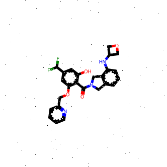 O=C(c1c(O)cc(C(F)F)cc1OCc1ccccn1)N1Cc2cccc(NC3COC3)c2C1